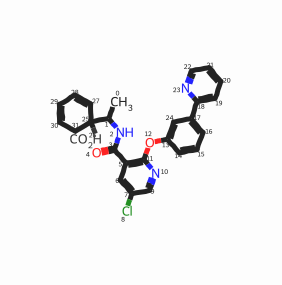 CC(NC(=O)c1cc(Cl)cnc1Oc1cccc(-c2ccccn2)c1)C1(C(=O)O)C=CC=CC1